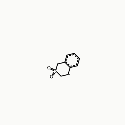 O=S1(=O)C[CH]c2ccccc2C1